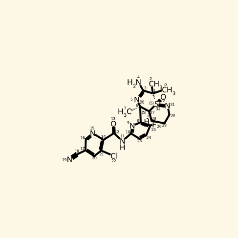 CC1(C)C(N)=N[C@](C)(c2nc(NC(=O)c3ncc(C#N)cc3Cl)ccc2F)[C@@H]2CCCN=[S@]21=O